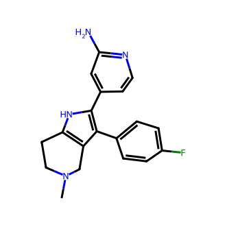 CN1CCc2[nH]c(-c3ccnc(N)c3)c(-c3ccc(F)cc3)c2C1